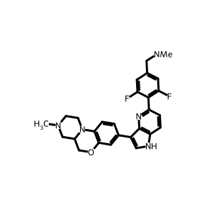 CNCc1cc(F)c(-c2ccc3[nH]cc(-c4ccc5c(c4)OCC4CN(C)CCN54)c3n2)c(F)c1